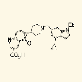 CCn1ccc2c(C3CC3)cc(CN3CCC(n4ccc5ncc(C(=O)O)cc5c4=O)CC3)cc21